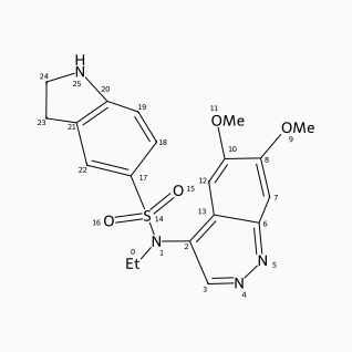 CCN(c1cnnc2cc(OC)c(OC)cc12)S(=O)(=O)c1ccc2c(c1)CCN2